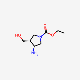 CCOC(=O)N1C[C@H](CO)[C@H](N)C1